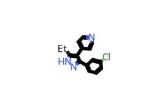 CCc1[nH]nc(-c2cccc(Cl)c2)c1-c1ccncc1